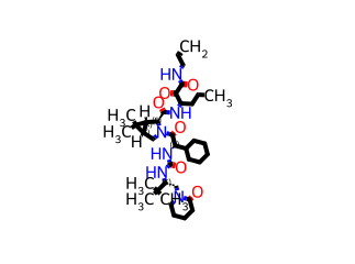 C=CCNC(=O)C(=O)C(CCC)NC(=O)[C@@H]1[C@@H]2[C@H](CN1C(=O)[C@@H](NC(=O)N[C@H](CN1CCCCC1=O)C(C)(C)C)C1CCCCC1)C2(C)C